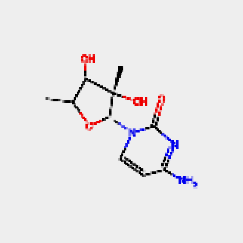 CC1O[C@@H](n2ccc(N)nc2=O)[C@@](C)(O)C1O